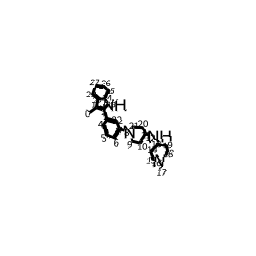 Cc1c(-c2cccc(N3CCC(NC4CCN(C)CC4)CC3)c2)[nH]c2ccccc12